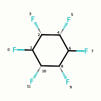 FC1[C@H](F)[C@H](F)C(F)[C@H](F)[C@@H]1F